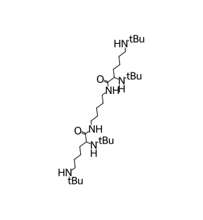 CC(C)(C)NCCCCC(NC(C)(C)C)C(=O)NCCCCCNC(=O)C(CCCCNC(C)(C)C)NC(C)(C)C